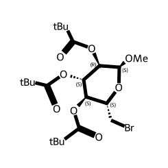 CO[C@H]1O[C@H](CBr)[C@@H](OC(=O)C(C)(C)C)[C@H](OC(=O)C(C)(C)C)[C@H]1OC(=O)C(C)(C)C